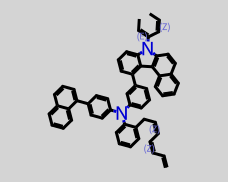 C=C/C=C\C=C/Cc1ccccc1N(c1ccc(-c2cccc3ccccc23)cc1)c1cccc(-c2cccc3c2c2c4ccccc4ccc2n3C(/C=C\C)=C/C)c1